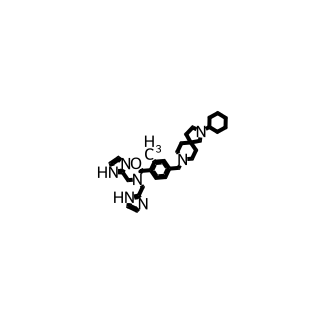 Cc1cc(CN2CCC3(CC2)CCN(C2CCCCC2)C3)ccc1C(=O)N(Cc1ncc[nH]1)Cc1ncc[nH]1